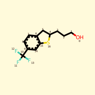 OCCCC1Cc2ccc(C(F)(F)F)cc2S1